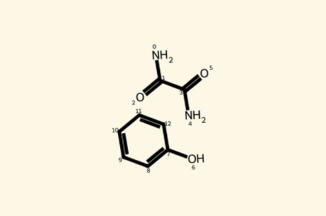 NC(=O)C(N)=O.Oc1ccccc1